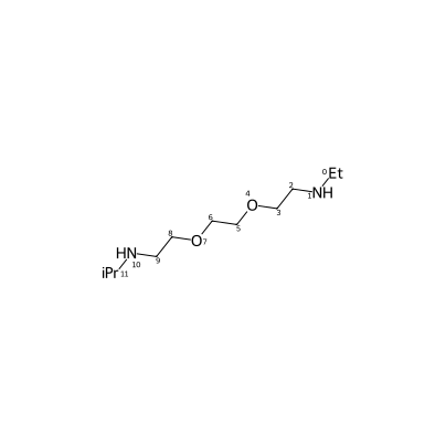 CCNCCOCCOCCNC(C)C